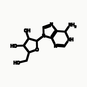 NC1NC=Nc2c1ncn2C1OC(CO)C(O)C1O